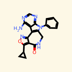 Nc1ncnc2c1c1c(n2-c2ccccc2)CNC(=O)c2c-1noc2C1CC1